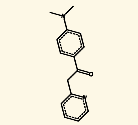 CN(C)c1ccc(C(=O)Cc2ccccn2)cc1